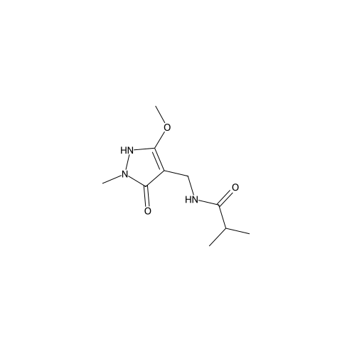 COc1[nH]n(C)c(=O)c1CNC(=O)C(C)C